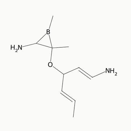 CC=CC(C=CN)OC1(C)B(C)C1N